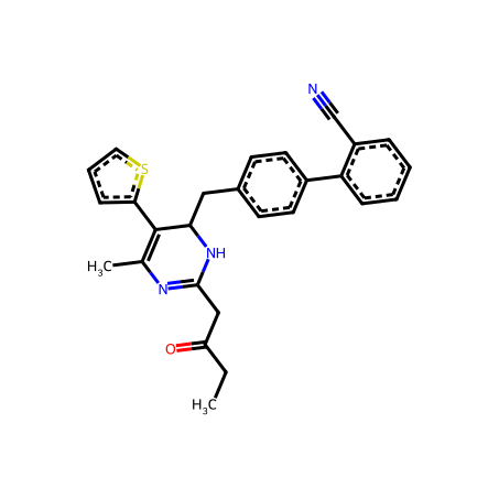 CCC(=O)CC1=NC(C)=C(c2cccs2)C(Cc2ccc(-c3ccccc3C#N)cc2)N1